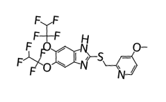 COc1ccnc(CSc2nc3cc(OC(F)(F)C(F)F)c(OC(F)(F)C(F)F)cc3[nH]2)c1